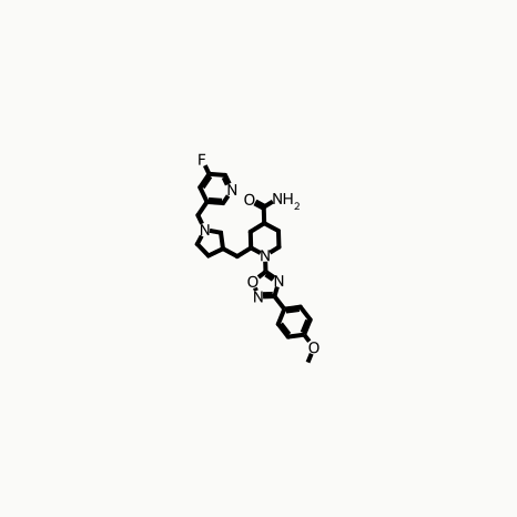 COc1ccc(-c2noc(N3CCC(C(N)=O)CC3CC3CCN(Cc4cncc(F)c4)C3)n2)cc1